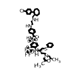 C[C@@H]1CN(CC[C@H](CSc2ccccc2)Nc2ccc(S(=O)(=O)NC(=O)c3ccc(NCCNCC4=C(c5ccc(Cl)cc5)CCCCC4)cc3)cc2S(=O)(=O)C(F)(F)F)C[C@H](C)O1